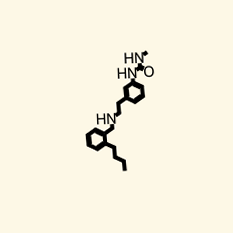 CCCCc1ccccc1CNCCc1cccc(NC(=O)NC)c1